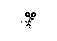 CCC(OC(=O)N(N)C(C)C=O)(c1ccccc1)c1ccccc1